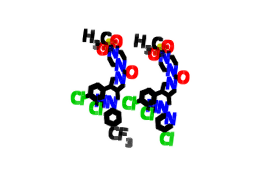 CS(=O)(=O)N1CCN(C(=O)N2CC(CNc3ccc(C(F)(F)F)cc3)C(c3ccc(Cl)c(Cl)c3)C2)CC1.CS(=O)(=O)N1CCN(C(=O)N2CC(CNc3ccc(Cl)cn3)C(c3ccc(Cl)c(Cl)c3)C2)CC1